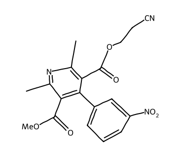 COC(=O)c1c(C)nc(C)c(C(=O)OCCC#N)c1-c1cccc([N+](=O)[O-])c1